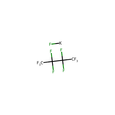 FC(F)(F)C(F)(F)C(F)(F)C(F)(F)F.[F][K]